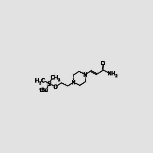 CC(C)(C)[Si](C)(C)OCCN1CCN(C=CC(N)=O)CC1